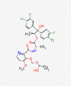 COc1ccnc(C(=O)N[C@@H](C)C(=O)O[C@@H](C)C(O)(c2ccc(Cl)c(F)c2)c2ccc(Cl)c(F)c2)c1OCOC(C)O